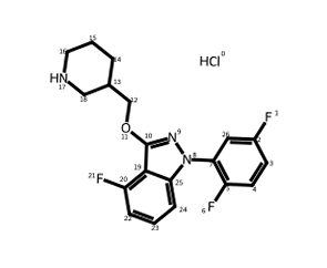 Cl.Fc1ccc(F)c(-n2nc(OCC3CCCNC3)c3c(F)cccc32)c1